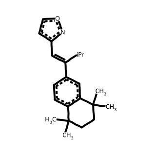 CC(C)C(=Cc1ccon1)c1ccc2c(c1)C(C)(C)CCC2(C)C